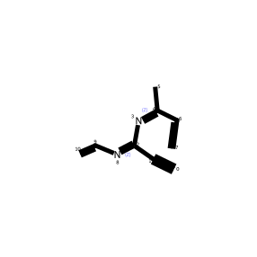 C#CC(/N=C(/C)C=C)=N/C=C